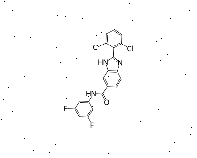 O=C(Nc1cc(F)cc(F)c1)c1ccc2nc(-c3c(Cl)cccc3Cl)[nH]c2c1